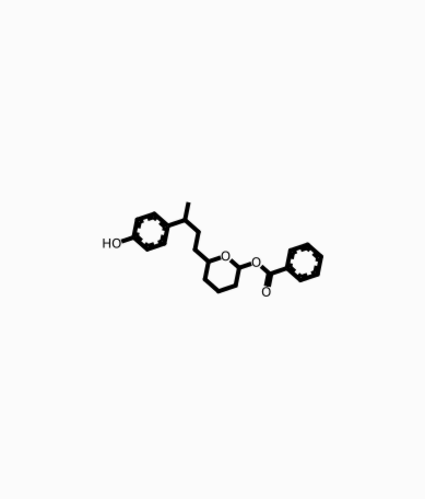 CC(CCC1CCCC(OC(=O)c2ccccc2)O1)c1ccc(O)cc1